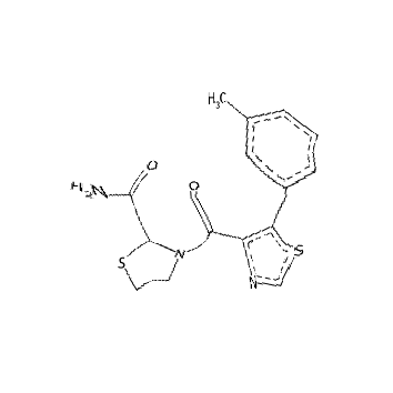 Cc1cccc(-c2scnc2C(=O)N2CCSC2C(N)=O)c1